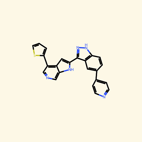 c1csc(-c2cncc3[nH]c(-c4n[nH]c5ccc(-c6ccncc6)cc45)cc23)c1